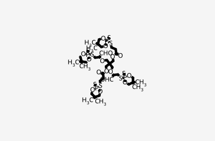 CC1(C)COP(=S)(SCCC(=O)OCC(COC(=O)CCSP2(=S)OCC(C)(C)CO2)(COC(C=O)CSP2(=S)OCC(C)(C)CO2)COC(C=O)CSP2(=S)OCC(C)(C)CO2)OC1